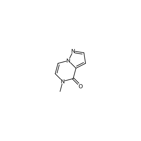 Cn1ccn2nccc2c1=O